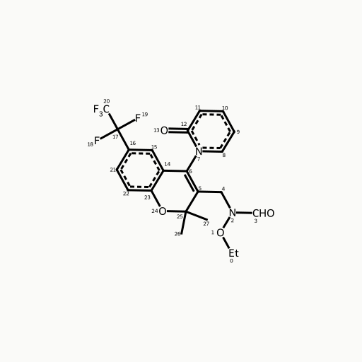 CCON(C=O)CC1=C(n2ccccc2=O)c2cc(C(F)(F)C(F)(F)F)ccc2OC1(C)C